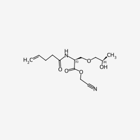 C=CCCC(=O)N[C@@H](COC[C@@H](C)O)C(=O)OCC#N